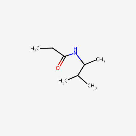 CCC(=O)NC(C)C(C)C